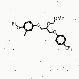 CCOc1ccc(SCC(COc2ccc(C(F)(F)F)cc2)OCOC)cc1C